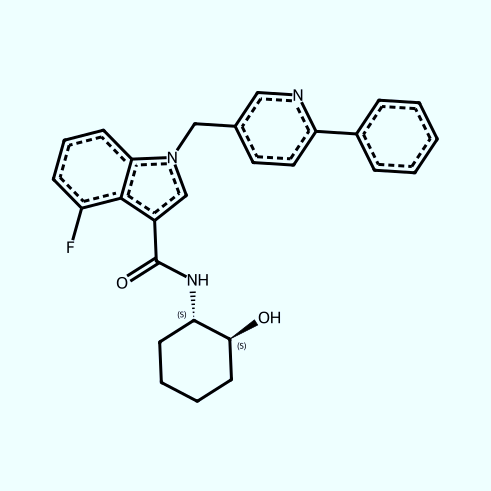 O=C(N[C@H]1CCCC[C@@H]1O)c1cn(Cc2ccc(-c3ccccc3)nc2)c2cccc(F)c12